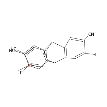 N#Cc1cc2c(cc1I)C1c3cc(I)c(C#N)cc3C2c2cc(C#N)c(I)cc21